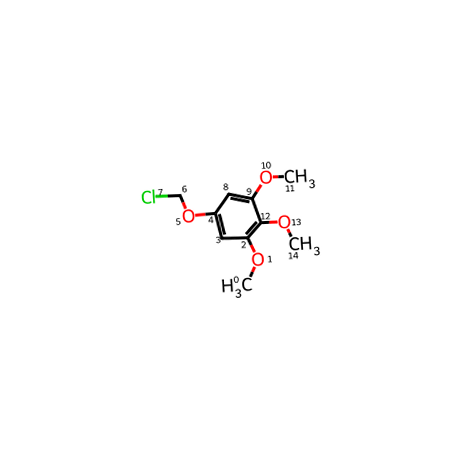 COc1cc(OCCl)cc(OC)c1OC